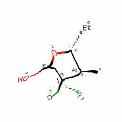 CC[C@H]1OC(O)[C@](F)(Cl)[C@@H]1C